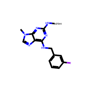 CCCCCCNc1nc(NCc2cccc(I)c2)c2ncn(C)c2n1